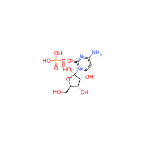 Nc1ccn([C@]2(O)O[C@H](CO)[C@@H](O)[C@H]2O)c(=O)n1.O=P(O)(O)O